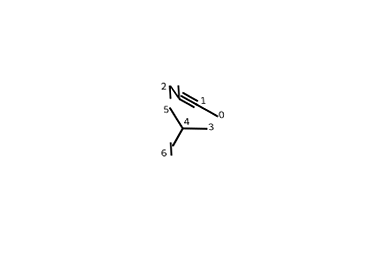 CC#N.CC(C)I